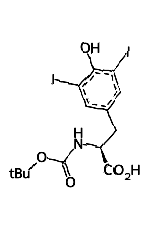 CC(C)(C)OC(=O)N[C@@H](Cc1cc(I)c(O)c(I)c1)C(=O)O